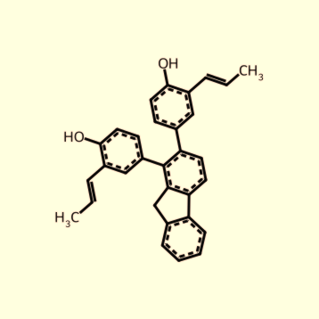 CC=Cc1cc(-c2ccc3c(c2-c2ccc(O)c(C=CC)c2)Cc2ccccc2-3)ccc1O